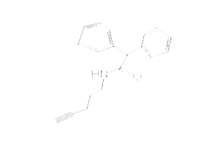 C#CCCCNC(=O)C(c1ccccc1)c1ccccc1